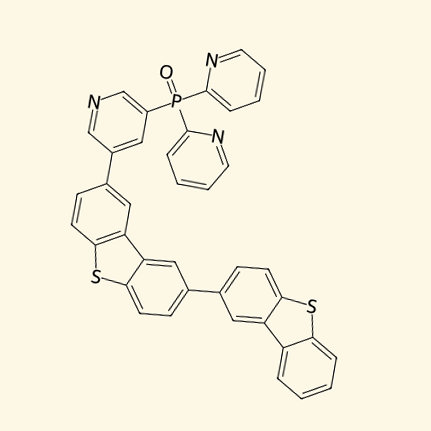 O=P(c1cncc(-c2ccc3sc4ccc(-c5ccc6sc7ccccc7c6c5)cc4c3c2)c1)(c1ccccn1)c1ccccn1